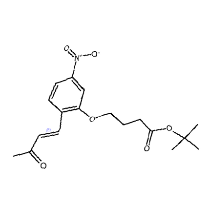 CC(=O)/C=C/c1ccc([N+](=O)[O-])cc1OCCCC(=O)OC(C)(C)C